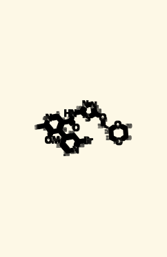 COc1c(C)ncc(C(=O)Nc2nnc(OC[C@H]3COCCO3)s2)c1-c1ccnc(Br)c1